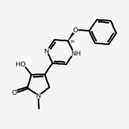 CN1CC(C2=CN[C@H](Oc3ccccc3)C=N2)=C(O)C1=O